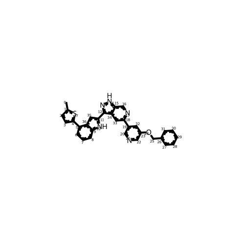 Cc1ccc(-c2cccc3[nH]c(-c4n[nH]c5cnc(-c6cncc(OCc7ccccc7)c6)cc45)cc23)s1